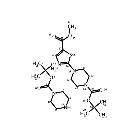 CC(C)(C)OC(=O)N1CCNCC1.COC(=O)c1cnc(N2CCN(C(=O)OC(C)(C)C)CC2)s1